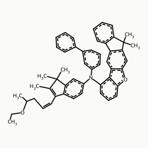 CCOC(C)C/C=C\C1=C(C)C(C)(C)c2cc(N(c3cccc(-c4ccccc4)c3)c3cccc4oc5cc6c(cc5c34)-c3ccccc3C6(C)C)ccc21